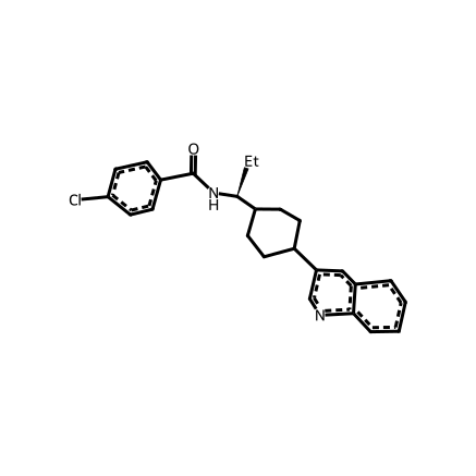 CC[C@H](NC(=O)c1ccc(Cl)cc1)C1CCC(c2cnc3ccccc3c2)CC1